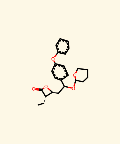 CC[C@@H]1C(=O)O[C@H]1CC(OC1CCCCO1)c1ccc(Oc2ccccc2)cc1